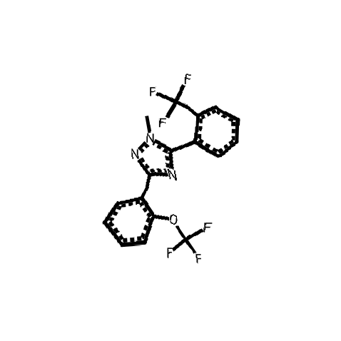 Cn1nc(-c2ccccc2OC(F)(F)F)nc1-c1ccccc1C(F)(F)F